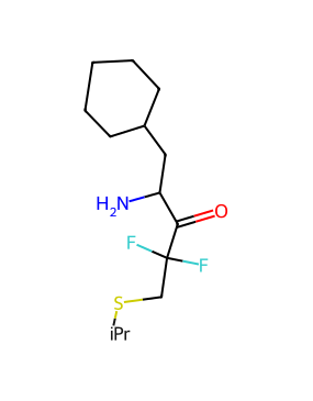 CC(C)SCC(F)(F)C(=O)C(N)CC1CCCCC1